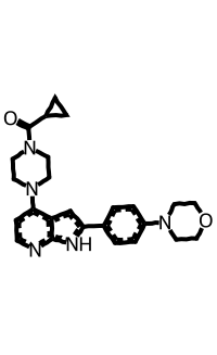 O=C(C1CC1)N1CCN(c2ccnc3[nH]c(-c4ccc(N5CCOCC5)cc4)cc23)CC1